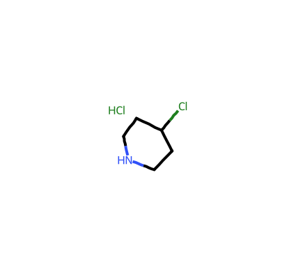 Cl.ClC1CCNCC1